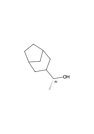 C[C@@H](O)C1CC2CCC(C2)C1